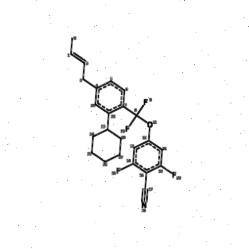 C/C=C/Cc1ccc(C(F)(F)Oc2cc(F)c(C#N)c(F)c2)c(C2CCCCC2)c1